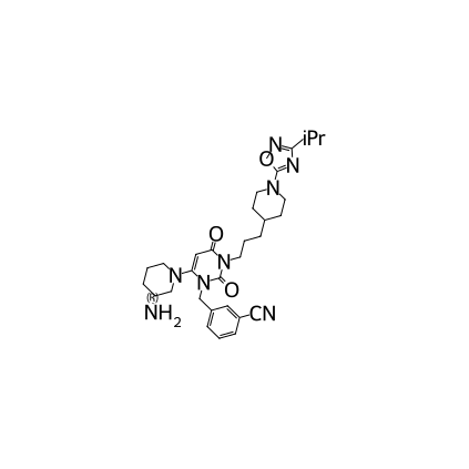 CC(C)c1noc(N2CCC(CCCn3c(=O)cc(N4CCC[C@@H](N)C4)n(Cc4cccc(C#N)c4)c3=O)CC2)n1